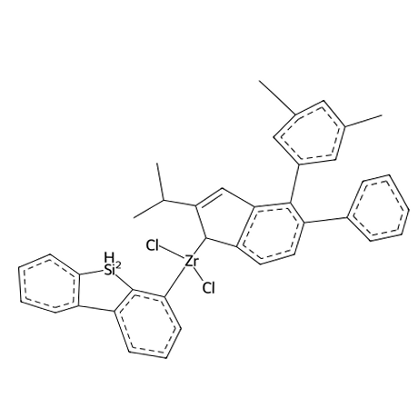 Cc1cc(C)cc(-c2c(-c3ccccc3)ccc3c2C=C(C(C)C)[CH]3[Zr]([Cl])([Cl])[c]2cccc3c2[SiH2]c2ccccc2-3)c1